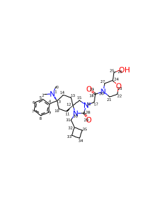 CN(C)[C@]1(c2ccccc2)CC[C@@]2(CC1)CN(CC(=O)N1CCOC(CO)C1)C(=O)N2CC1CCC1